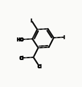 Oc1c(I)cc(I)cc1C(Cl)Cl